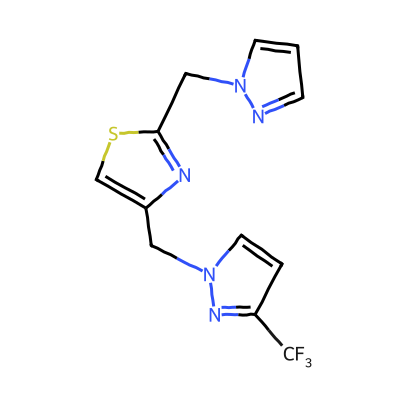 FC(F)(F)c1ccn(Cc2csc(Cn3cccn3)n2)n1